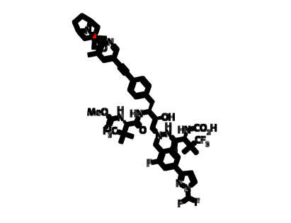 COC(=O)N[C@H](C(=O)N[C@@H](Cc1ccc(C#Cc2cnc(N3CC4CCC(C3)N4C3COC3)c(C)c2)cc1)[C@@H](O)CN(Cc1c(F)cc(-c2ccn(C(F)F)n2)cc1F)NC(=O)[C@@H](NC(=O)O)C(C)(C)C(F)(F)F)C(C)(C)C(F)(F)F